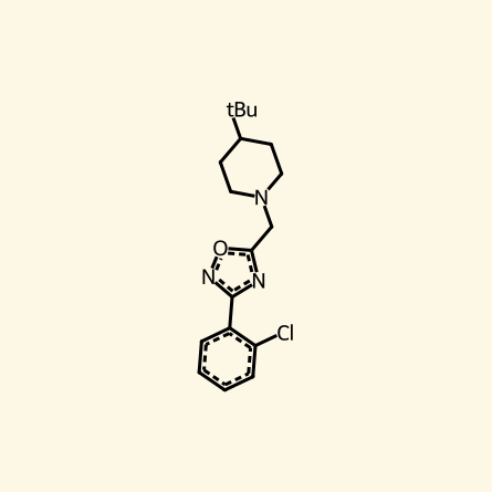 CC(C)(C)C1CCN(Cc2nc(-c3ccccc3Cl)no2)CC1